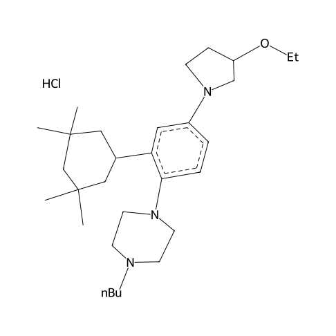 CCCCN1CCN(c2ccc(N3CCC(OCC)C3)cc2C2CC(C)(C)CC(C)(C)C2)CC1.Cl